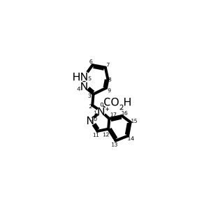 O=C(O)[N+]1(CC2=NNC=CC=C2)N=Cc2ccccc21